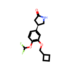 O=C1C[C@H](c2ccc(OC(F)F)c(OCC3CCC3)c2)CN1